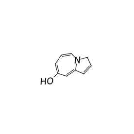 OC1=CC=CN2CC=CC2=C1